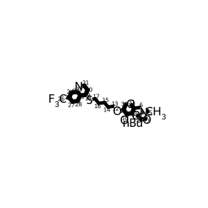 CCCCS(=O)(=O)N(C)Cc1cc(=O)c(OCCCCCSc2ccnc3cc(C(F)(F)F)ccc23)co1